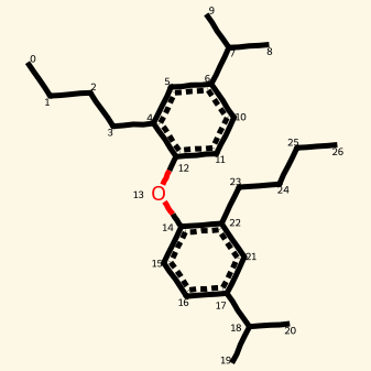 CCCCc1cc(C(C)C)ccc1Oc1ccc(C(C)C)cc1CCCC